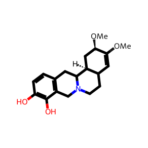 COC1=CC2CCN3Cc4c(ccc(O)c4O)CC3[C@H]2C[C@H]1OC